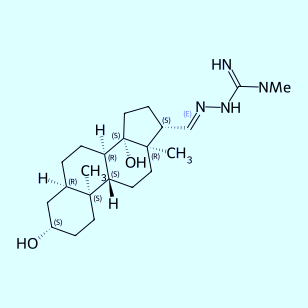 CNC(=N)N/N=C/[C@H]1CC[C@]2(O)[C@@H]3CC[C@@H]4C[C@@H](O)CC[C@]4(C)[C@H]3CC[C@]12C